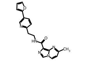 Cc1ccn2cnc(C(=O)NCCc3ccc(-c4ccco4)cn3)c2n1